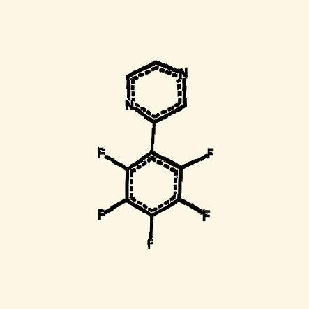 Fc1c(F)c(F)c(-c2cnccn2)c(F)c1F